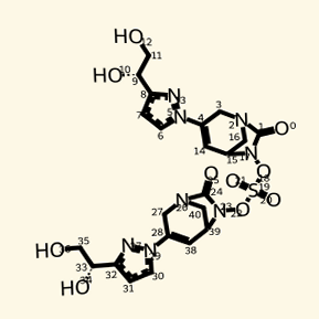 O=C1N2CC(n3ccc([C@H](O)CO)n3)=CC(C2)N1OS(=O)(=O)ON1C(=O)N2CC(n3ccc([C@H](O)CO)n3)=CC1C2